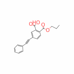 CCCOC(=O)c1ccc(C#Cc2ccccc2)cc1C(=O)O